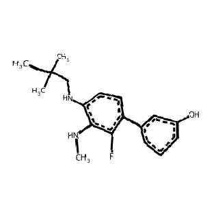 CNc1c(NCC(C)(C)C)ccc(-c2cccc(O)c2)c1F